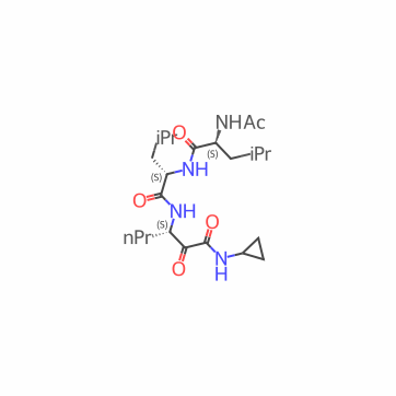 CCC[C@H](NC(=O)[C@H](CC(C)C)NC(=O)[C@H](CC(C)C)NC(C)=O)C(=O)C(=O)NC1CC1